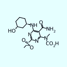 CN(C(=O)O)c1nc(S(C)(=O)=O)nc(N[C@@H]2CCC[C@H](O)C2)c1C(N)=O